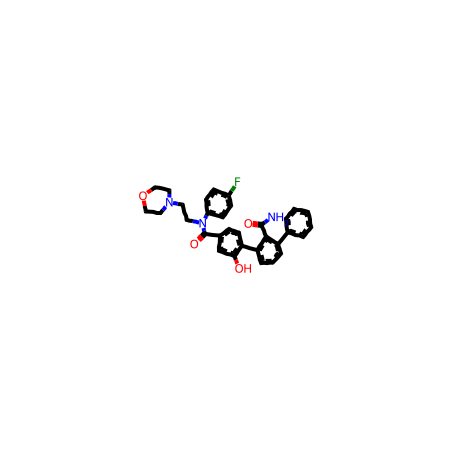 NC(=O)c1c(-c2ccccc2)cccc1-c1ccc(C(=O)N(CCN2CCOCC2)c2ccc(F)cc2)cc1O